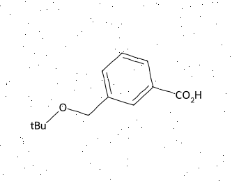 CC(C)(C)OCc1cccc(C(=O)O)c1